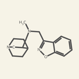 CN(Cc1noc2ccccc12)C1CN2CCC1CC2